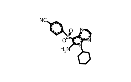 N#Cc1ccc(S(=O)(=O)c2c(N)n(C3CCCCC3)c3nccnc23)cc1